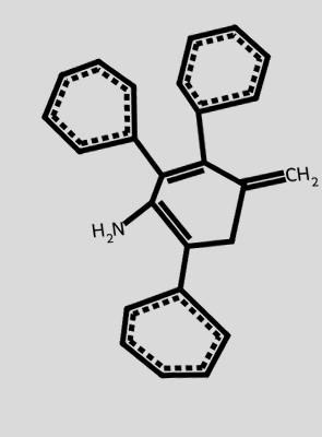 C=C1CC(c2ccccc2)=C(N)C(c2ccccc2)=C1c1ccccc1